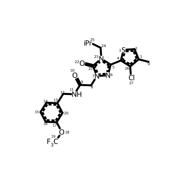 Cc1csc(-c2nn(CC(=O)NCc3cccc(OC(F)(F)F)c3)c(=O)n2CC(C)C)c1Cl